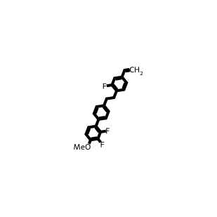 C=Cc1ccc(CCc2ccc(-c3ccc(OC)c(F)c3F)cc2)c(F)c1